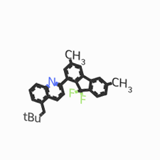 Cc1ccc2c(c1)-c1cc(C)cc(-c3ccc4c(CC(C)(C)C)cccc4n3)c1C2(F)F